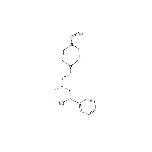 CCC(CCN1CCN(C=N)CC1)CC(O)c1ccccc1